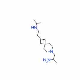 CC(N)CN1CCC2(CC1)CC(CCNC(C)C)C2